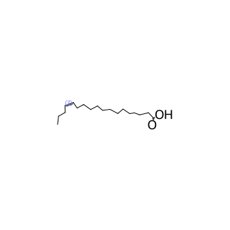 CCC/C=C\CCCCCCCCCCCCC(=O)O